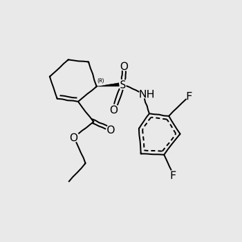 CCOC(=O)C1=CCCC[C@H]1S(=O)(=O)Nc1ccc(F)cc1F